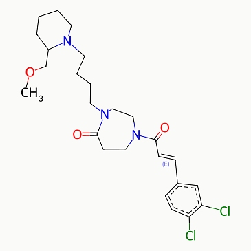 COCC1CCCCN1CCCCN1CCN(C(=O)/C=C/c2ccc(Cl)c(Cl)c2)CCC1=O